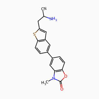 Cn1c(=O)oc2ccc(-c3ccc4sc(CC(N)C#N)cc4c3)cc21